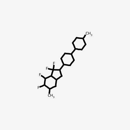 CC1CCC(C2CCC(C3CC4CC(C)C(F)C(F)C4C3(F)F)CC2)CC1